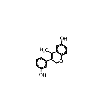 CC1=C(c2cccc(O)c2)COc2ccc(O)cc21